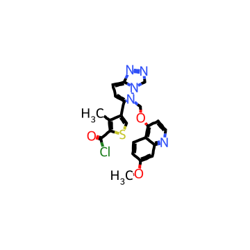 COc1ccc2c(OCN3C(c4csc(C(=O)Cl)c4C)=CC=C4N=NCN43)ccnc2c1